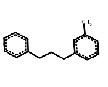 Cc1cccc([CH]CCc2ccccc2)c1